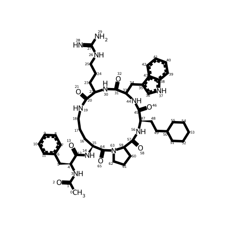 CC(=O)N[C@@H](Cc1ccccc1)C(=O)N[C@H]1CCCNC(=O)C(CCCNC(=N)N)NC(=O)C(Cc2c[nH]c3ccccc23)NC(=O)[C@@H](CCC2CCCCC2)NC(=O)C2CCCN2C1=O